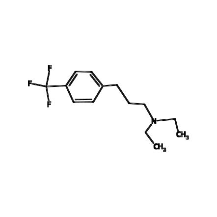 CCN(CC)CCCc1ccc(C(F)(F)F)cc1